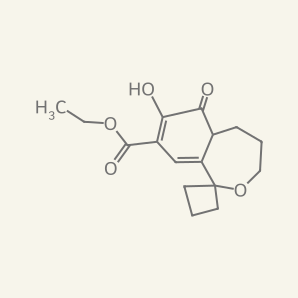 CCOC(=O)C1=C(O)C(=O)C2CCCOC3(CCC3)C2=C1